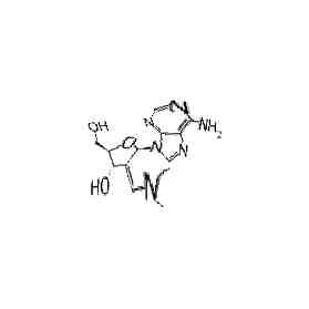 CN(C)/C=C1\[C@H](n2cnc3c(N)ncnc32)O[C@H](CO)[C@H]1O